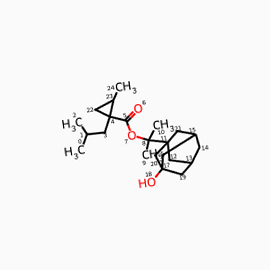 CC(C)CC1(C(=O)OC(C)(C)C23CC4CC(CC(O)(C4)C2)C3)CC1C